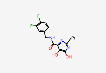 CC(C)c1nc(O)c(O)c(C(=O)NCc2ccc(F)c(F)c2)n1